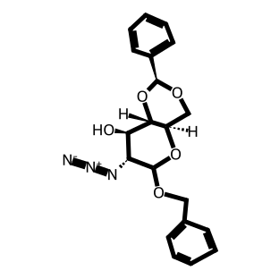 [N-]=[N+]=N[C@H]1C(OCc2ccccc2)O[C@@H]2CO[C@H](c3ccccc3)O[C@H]2[C@@H]1O